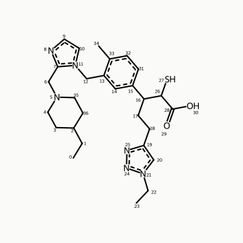 CCC1CCN(Cc2nccn2Cc2cc(C(CCc3cn(CC)nn3)C(S)C(=O)O)ccc2C)CC1